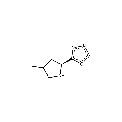 CC1CN[C@H](c2nnco2)C1